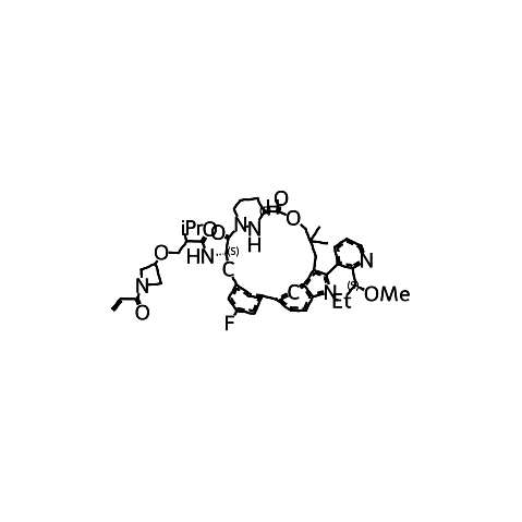 C=CC(=O)N1CC(OCC(C(=O)N[C@H]2Cc3cc(F)cc(c3)-c3ccc4c(c3)c(c(-c3cccnc3[C@H](C)OC)n4CC)CC(C)(C)COC(=O)[C@@H]3CCCN(N3)C2=O)C(C)C)C1